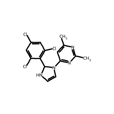 Cc1cc(N2C=CNC2c2c(Cl)cc(Cl)cc2Cl)nc(C)n1